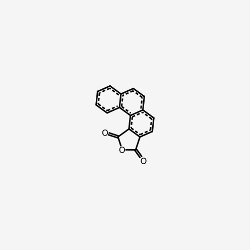 O=C1OC(=O)c2c1ccc1ccc3ccccc3c21